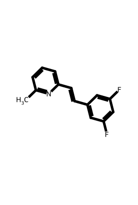 Cc1cccc(C=Cc2cc(F)cc(F)c2)n1